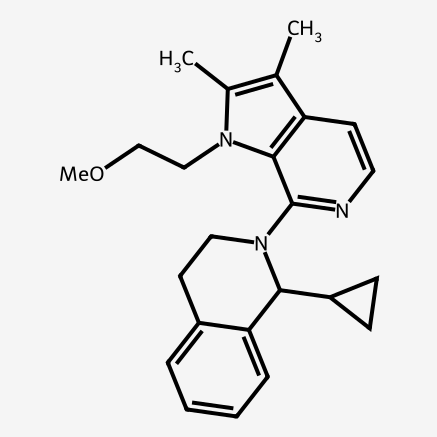 COCCn1c(C)c(C)c2ccnc(N3CCc4ccccc4C3C3CC3)c21